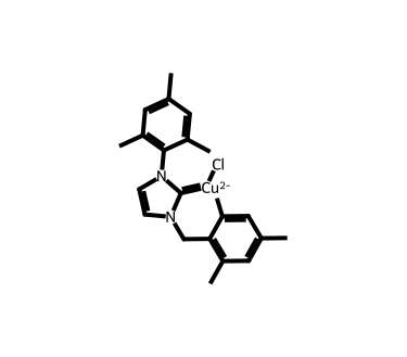 Cc1cc(C)c(Cn2ccn(-c3c(C)cc(C)cc3C)[c]2=[Cu-2][Cl])c(C)c1